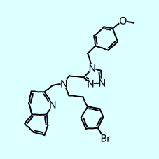 COc1ccc(Cn2cnnc2CN(CCc2ccc(Br)cc2)Cc2ccc3ccccc3n2)cc1